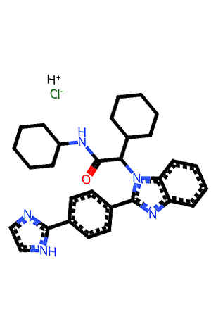 O=C(NC1CCCCC1)C(C1CCCCC1)n1c(-c2ccc(-c3ncc[nH]3)cc2)nc2ccccc21.[Cl-].[H+]